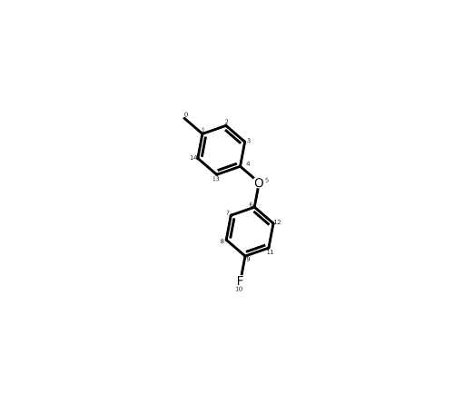 Cc1ccc(Oc2ccc(F)cc2)cc1